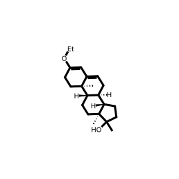 CCOC1=CC2=CC[C@@H]3[C@H](CC[C@@]4(C)[C@H]3CCC4(C)O)[C@@]2(C)CC1